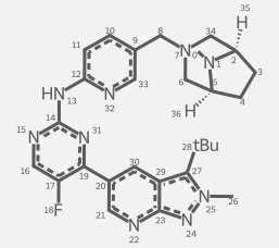 CN1[C@@H]2CC[C@H]1CN(Cc1ccc(Nc3ncc(F)c(-c4cnc5nn(C)c(C(C)(C)C)c5c4)n3)nc1)C2